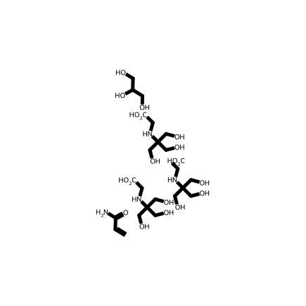 C=CC(N)=O.O=C(O)CNC(CO)(CO)CO.O=C(O)CNC(CO)(CO)CO.O=C(O)CNC(CO)(CO)CO.OCC(O)CO